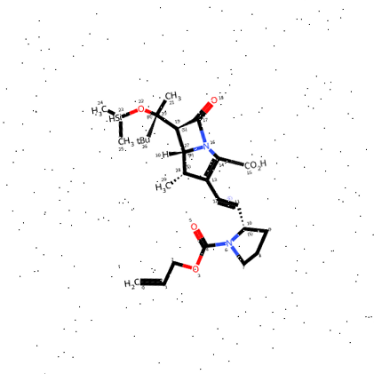 C=CCOC(=O)N1CCC[C@H]1/C=C/C1=C(C(=O)O)N2C(=O)[C@H]([C@@](C)(O[SiH](C)C)C(C)(C)C)[C@H]2[C@H]1C